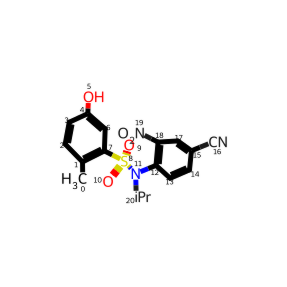 Cc1ccc(O)cc1S(=O)(=O)N(c1ccc(C#N)cc1[N+](=O)[O-])C(C)C